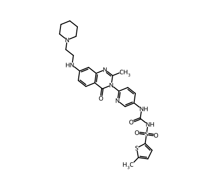 Cc1ccc(S(=O)(=O)NC(=O)Nc2ccc(-n3c(C)nc4cc(NCCN5CCCCC5)ccc4c3=O)nc2)s1